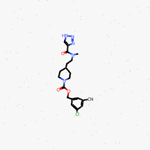 CN(CCC1CCN(C(=O)OCc2cc(Cl)cc(C#N)c2)CC1)C(=O)c1c[nH]nn1